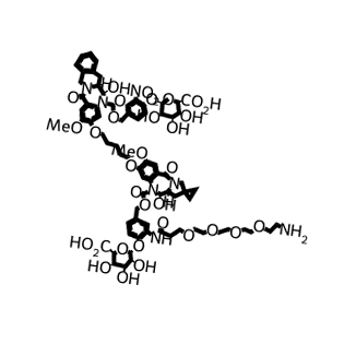 COc1cc2c(cc1OCCCCCOc1cc3c(cc1OC)C(=O)N1CC4(CC4)C[C@H]1[C@H](O)N3C(=O)OCc1ccc(O[C@@H]3O[C@H](C(=O)O)[C@@H](O)[C@H](O)[C@H]3O)c(NC(=O)CCOCCOCCOCCOCCN)c1)N(C(=O)OCc1ccc(O[C@@H]3O[C@H](C(=O)O)[C@@H](O)[C@H](O)[C@H]3O)c([N+](=O)[O-])c1)[C@@H](O)[C@@H]1Cc3ccccc3CN1C2=O